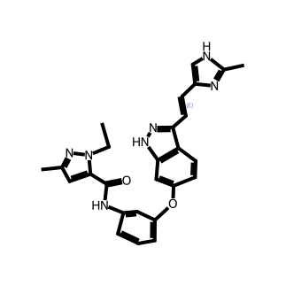 CCn1nc(C)cc1C(=O)Nc1cccc(Oc2ccc3c(/C=C/c4c[nH]c(C)n4)n[nH]c3c2)c1